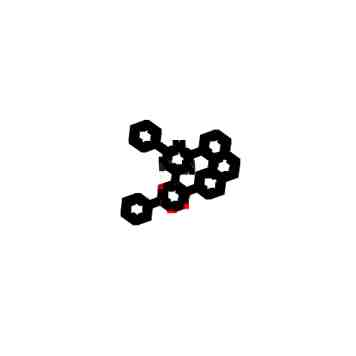 c1ccc(-c2ccc(-c3ccc4ccc5cccc(-c6nc(-c7ccccc7)nc(-c7ccccc7)n6)c5c4c3)cc2)cc1